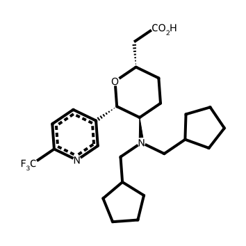 O=C(O)C[C@@H]1CC[C@@H](N(CC2CCCC2)CC2CCCC2)[C@H](c2ccc(C(F)(F)F)nc2)O1